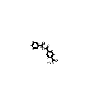 CC(C)(C)C(=O)c1ccc(C(=O)OC(=O)c2ccccc2)cc1